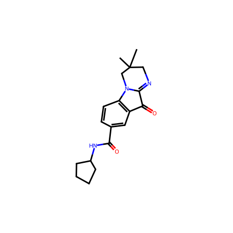 CC1(C)CN=C2C(=O)c3cc(C(=O)NC4CCCC4)ccc3N2C1